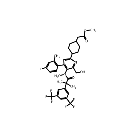 COC(=O)CC1CCC(c2cc(-c3ccc(F)cc3C)c(N(C)C(=O)C(C)(C)c3cc(C(F)(F)F)cc(C(F)(F)F)c3)c(CO)n2)CC1